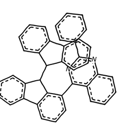 c1ccc(-c2nc(-c3cccc4c3C(C3c5ccccc5-c5ccccc53)c3ccccc3-4)c3ccccc3n2)cc1